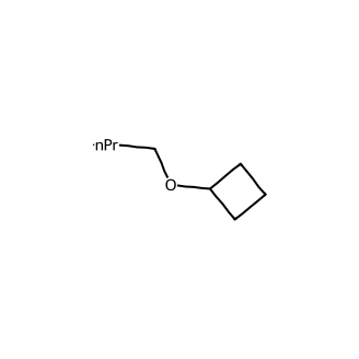 CC[CH]COC1CCC1